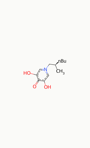 CCCC[C@@H](C)Cn1cc(O)c(=O)c(O)c1